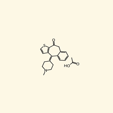 CC(=O)O.CN1CCC(=C2c3ccccc3CC(=O)c3sccc32)CC1